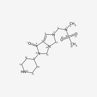 CN(CN1C=C2C(=O)N(C3CCNCC3)CN2C1)S(C)(=O)=O